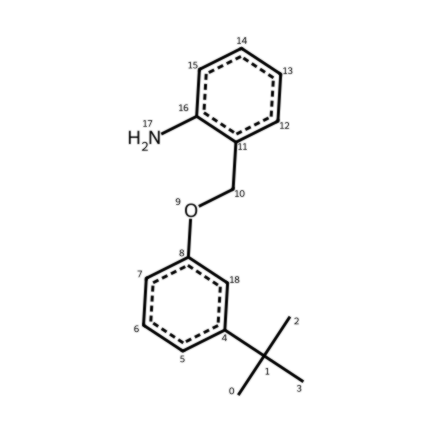 CC(C)(C)c1cccc(OCc2ccccc2N)c1